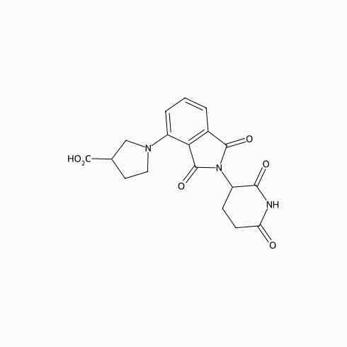 O=C1CCC(N2C(=O)c3cccc(N4CCC(C(=O)O)C4)c3C2=O)C(=O)N1